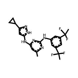 Cc1cc(Nc2cc(C3CC3)n[nH]2)nc(Nc2cc(C(C)(F)F)cc(C(C)(F)F)c2)n1